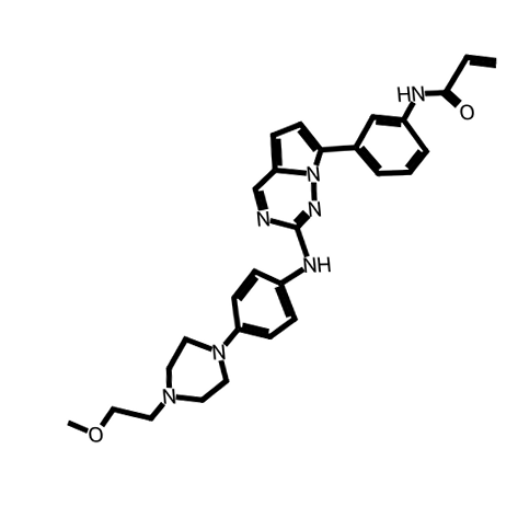 C=CC(=O)Nc1cccc(-c2ccc3cnc(Nc4ccc(N5CCN(CCOC)CC5)cc4)nn23)c1